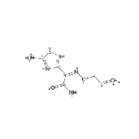 C=CCON=C(C([NH])=O)c1nsc(N)n1